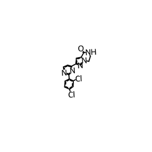 O=C1NCCn2nc(-c3ccnc(-c4ccc(Cl)cc4Cl)n3)cc21